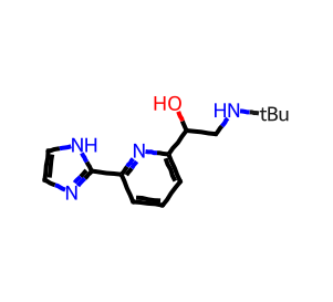 CC(C)(C)NCC(O)c1cccc(-c2ncc[nH]2)n1